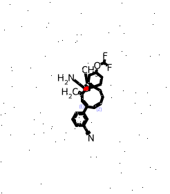 C=C1/C=C(c2cccc(C#N)c2)\C=C/CCC2(CCC(OC(F)F)CC2)C12N=C(N)N(C)O2